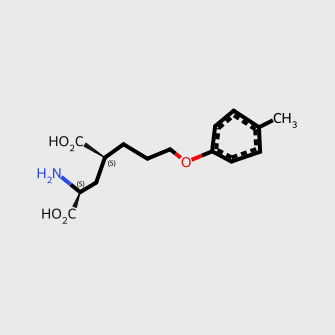 Cc1ccc(OCCC[C@@H](C[C@H](N)C(=O)O)C(=O)O)cc1